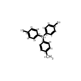 Cc1ccc(N(c2ccc(I)cc2)c2ccc(I)cc2)cc1